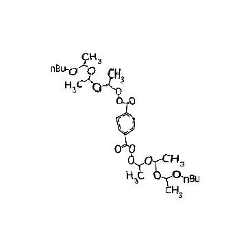 CCCCOC(C)OC(C)OC(C)OOC(=O)c1ccc(C(=O)OOC(C)OC(C)OC(C)OCCCC)cc1